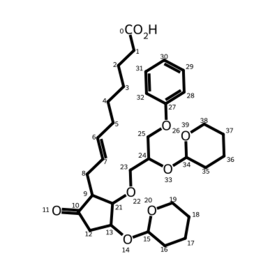 O=C(O)CCCCCC=CCC1C(=O)CC(OC2CCCCO2)C1OCC(COc1ccccc1)OC1CCCCO1